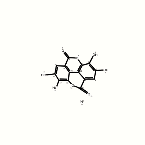 O=c1oc2c(O)c(O)cc3c(=O)oc4c(O)c(O)cc1c4c23.[H+]